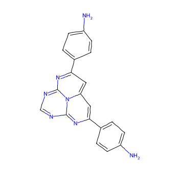 Nc1ccc(C2=CC3=CC(c4ccc(N)cc4)=NC4=NC=NC(=N2)N34)cc1